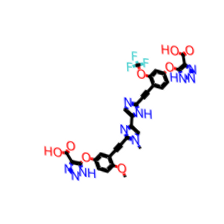 COc1ccc(Oc2[nH]nnc2C(=O)O)cc1C#Cc1nc(-c2cnc(C#Cc3ccc(Oc4[nH]nnc4C(=O)O)cc3OC(F)(F)F)[nH]2)cn1C